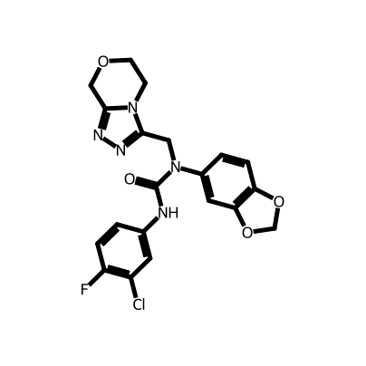 O=C(Nc1ccc(F)c(Cl)c1)N(Cc1nnc2n1CCOC2)c1ccc2c(c1)OCO2